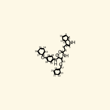 O=C(CCc1c[nH]c2ccccc12)NC(COCc1ccccc1)C(=O)Nc1ccc(Oc2ccccc2)cc1